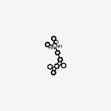 C1=C2C(=CC3c4ccccc4C4(CCCCC4)C13)C1(CCCCC1)c1ccc(-c3ccc(C4Nc5sc6ccccc6c5C(c5ccccc5)N4)cc3)cc12